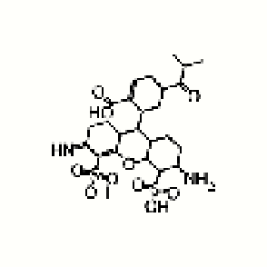 CC(C)C(=O)C1CC=C(C(=O)O)C(C2C3CCC(=N)C(S(=O)(=O)O)=C3OC3C2CCC(N)C3S(=O)(=O)O)C1